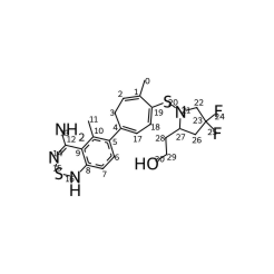 CC1=CCC(c2ccc3c(c2C)C(N)=NSN3)=CC=C1SN1CC(F)(F)CC1CCO